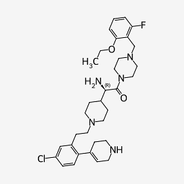 CCOc1cccc(F)c1CN1CCN(C(=O)[C@H](N)C2CCN(CCc3cc(Cl)ccc3C3=CCNCC3)CC2)CC1